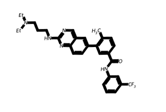 CCN(CC)CCCNc1ncc2cc(-c3cc(C(=O)Nc4cccc(C(F)(F)F)c4)ccc3C)ccc2n1